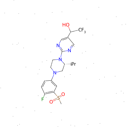 CC(C)[C@@H]1CN(c2ccc(F)c(S(C)(=O)=O)c2)CCN1c1ncc(C(O)C(F)(F)F)cn1